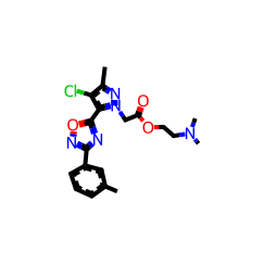 Cc1cccc(-c2noc(-c3c(Cl)c(C)nn3CC(=O)OCCN(C)C)n2)c1